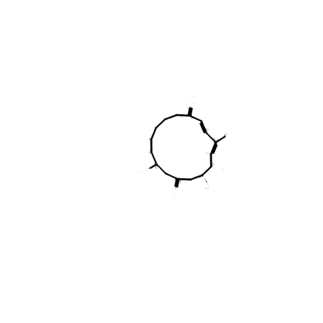 CC[C@H]1CC(=O)CC(O)CCCCCC(=O)/C=C/C(C)=C/[C@@H]1C